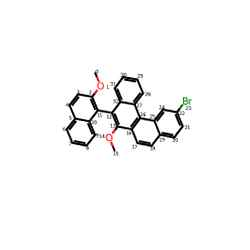 COc1ccc2ccccc2c1-c1c(OC)c2ccc3ccc(Br)cc3c2c2ccccc12